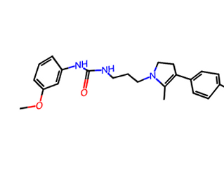 COc1cccc(NC(=O)NCCCN2CCC(c3ccc(F)cc3)=C2C)c1